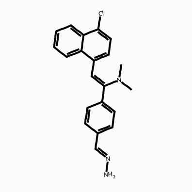 CN(C)C(=Cc1ccc(Cl)c2ccccc12)c1ccc(/C=N/N)cc1